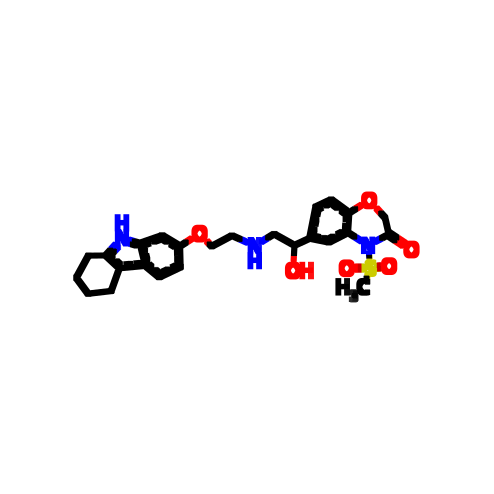 CS(=O)(=O)N1C(=O)COc2ccc(C(O)CNCCOc3ccc4c5c([nH]c4c3)CCCC5)cc21